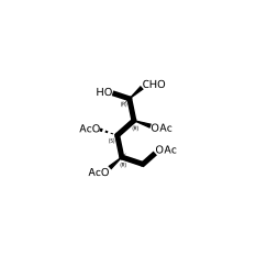 CC(=O)OC[C@@H](OC(C)=O)[C@H](OC(C)=O)[C@H](OC(C)=O)[C@@H](O)C=O